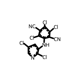 N#Cc1c(Cl)c(Cl)c(C#N)c(Nc2cc(Cl)cnc2Cl)c1Cl